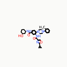 Cc1ccccc1N1CCN(c2ccc(C(=O)N[C@H]3CCC[C@@H](O)C3)cc2NC(=O)c2coc(C3CC3)n2)CC1